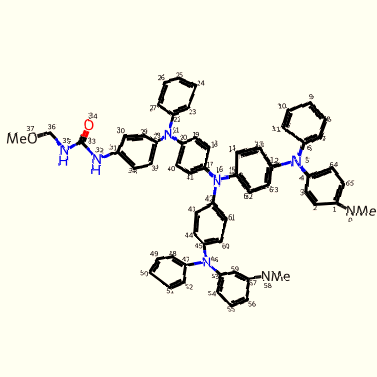 CNc1ccc(N(c2ccccc2)c2ccc(N(c3ccc(N(c4ccccc4)c4ccc(NC(=O)NCOC)cc4)cc3)c3ccc(N(c4ccccc4)c4cccc(NC)c4)cc3)cc2)cc1